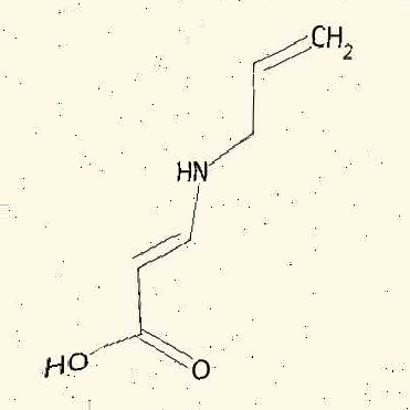 C=CCN/C=C/C(=O)O